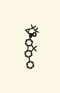 CC1(C)c2cc(B3OC(C)(C)C(C)(C)C4CC34)ccc2-c2ccc(-c3ccccc3)cc21